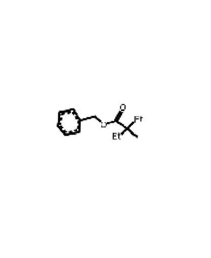 CCC(C)(CC)C(=O)OCc1ccccc1